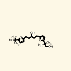 CC(C)(O)c1ccc(CCC(O)CCc2ccc(C(C)(C)CO)o2)o1